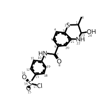 CC1Sc2ccc(C(=O)Nc3ccc(S(=O)(=O)Cl)cc3)cc2NC1O